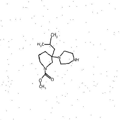 COC(=O)N1CCCC(CC(C)C)(N2CCNCC2)C1